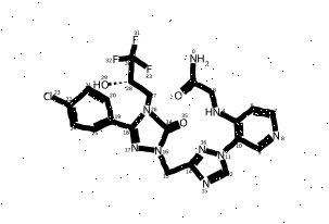 NC(=O)CNc1ccncc1-n1cnc(Cn2nc(-c3ccc(Cl)cc3)n(C[C@H](O)C(F)(F)F)c2=O)n1